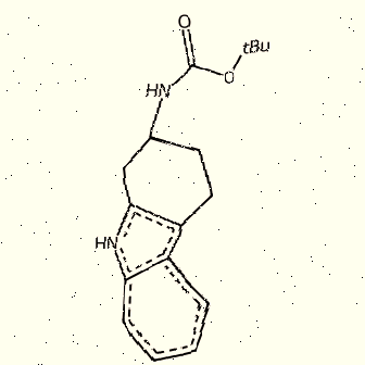 CC(C)(C)OC(=O)NC1CCc2c([nH]c3ccccc23)C1